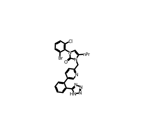 CCCc1cn(-c2c(Cl)cccc2Br)c(=O)n1Cc1ccc(-c2ccccc2-c2nnn[nH]2)cn1